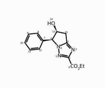 CCOC(=O)c1nc2n(n1)[C@@H](c1ccccc1)[C@@H](O)C2